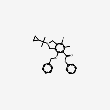 Cc1c(F)c2c(c(OCc3ccccc3)c1C(=O)Oc1ccccc1)CN(C(C)(C)C1CC1)C2